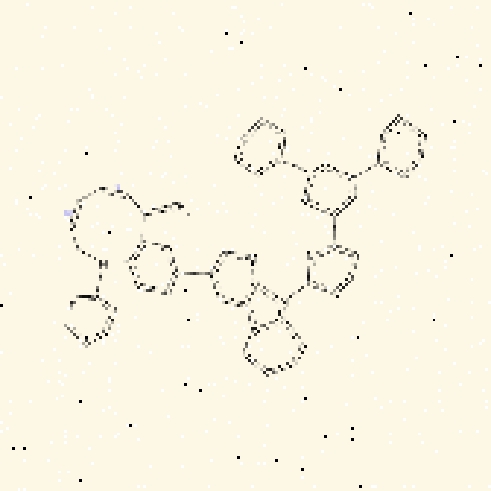 C=C1/C=C\C=C/CN(c2ccccc2)c2ccc(-c3ccc4c(c3)c3ccccc3n4-c3nccc(-c4cc(-c5ccccc5)cc(-c5ccccc5)c4)n3)cc21